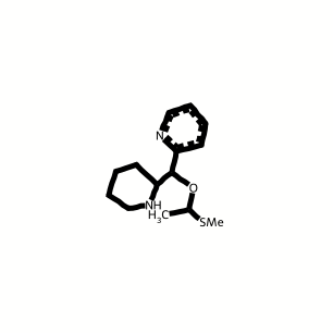 CSC(C)OC(c1ccccn1)C1CCCCN1